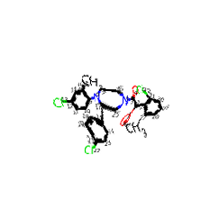 CO[C@@H](C(=O)N1CCN(c2ccc(Cl)cc2C)[C@H](c2ccc(Cl)cc2)C1)c1ccccc1Cl